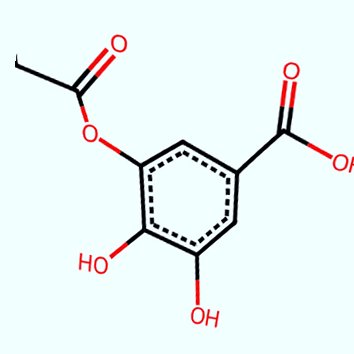 CCC(=O)Oc1cc(C(=O)O)cc(O)c1O